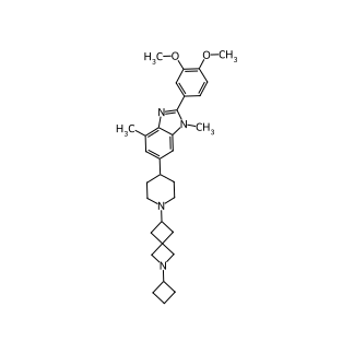 COc1ccc(-c2nc3c(C)cc(C4CCN(C5CC6(C5)CN(C5CCC5)C6)CC4)cc3n2C)cc1OC